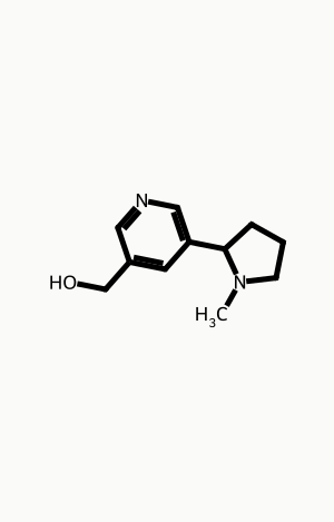 CN1CCCC1c1cncc(CO)c1